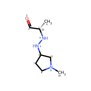 C[C@@H](C=O)NNC1CCN(C)C1